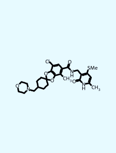 CSc1cc(C)[nH]c(=O)c1CNC(=O)c1cc(Cl)c2c(c1C)OC1(CCC(CN3CCOCC3)CC1)O2